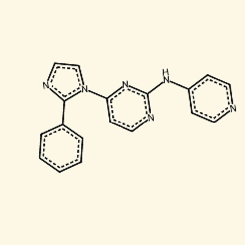 c1ccc(-c2nccn2-c2ccnc(Nc3ccncc3)n2)cc1